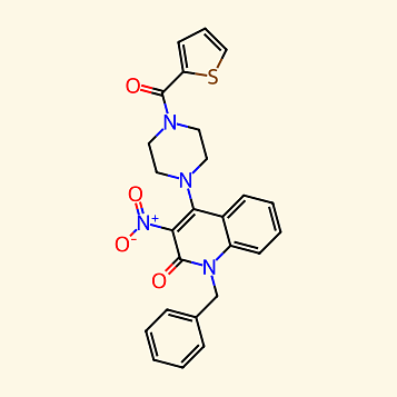 O=C(c1cccs1)N1CCN(c2c([N+](=O)[O-])c(=O)n(Cc3ccccc3)c3ccccc23)CC1